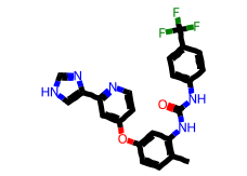 Cc1ccc(Oc2ccnc(-c3c[nH]cn3)c2)cc1NC(=O)Nc1ccc(C(F)(F)F)cc1